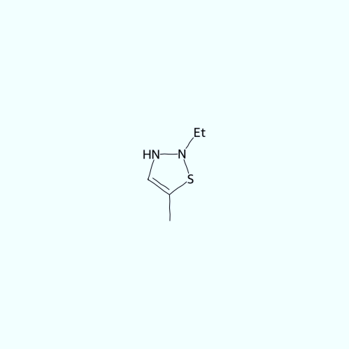 [CH2]CN1NC=C(C)S1